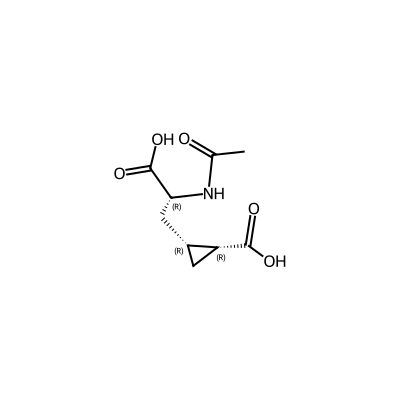 CC(=O)N[C@H](C[C@H]1C[C@H]1C(=O)O)C(=O)O